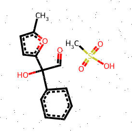 CS(=O)(=O)O.Cc1ccc(C(O)(C=O)c2ccccc2)o1